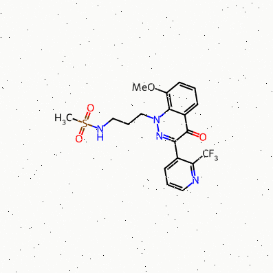 COc1cccc2c(=O)c(-c3cccnc3C(F)(F)F)nn(CCCNS(C)(=O)=O)c12